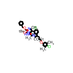 CCOC(=O)c1c(CCCOc2cc(C)c(Cl)c(C)c2)c2ccc(Cl)c(-c3c(C)nc(COCc4ccccc4)nc3C)c2n1[C@H](C)CNC(=O)OC(C)(C)C